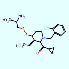 N[C@@H](CSSC1CCN(Cc2ccccc2Cl)C(C(=O)C2CC2)/C1=C/C(=O)O)C(=O)O